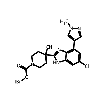 Cn1cc(-c2cc(Cl)cc3[nH]c(C4(C#N)CCN(C(=O)OC(C)(C)C)CC4)nc23)cn1